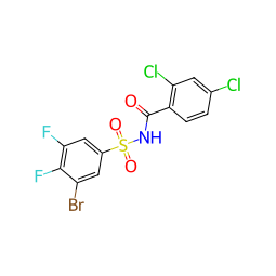 O=C(NS(=O)(=O)c1cc(F)c(F)c(Br)c1)c1ccc(Cl)cc1Cl